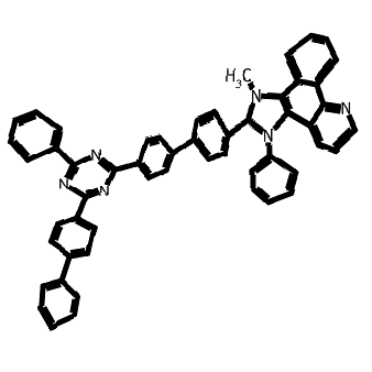 CN1c2c(c3cccnc3c3ccccc23)N(c2ccccc2)C1c1ccc(-c2ccc(-c3nc(-c4ccccc4)nc(-c4ccc(-c5ccccc5)cc4)n3)cc2)cc1